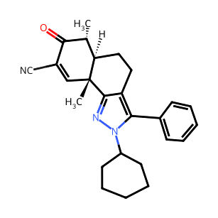 C[C@H]1C(=O)C(C#N)=C[C@@]2(C)c3nn(C4CCCCC4)c(-c4ccccc4)c3CC[C@H]12